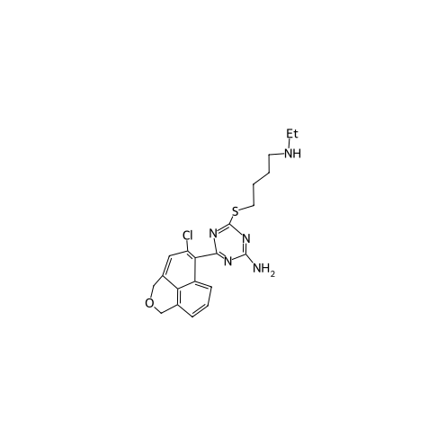 CCNCCCCSc1nc(N)nc(-c2c(Cl)cc3c4c(cccc24)COC3)n1